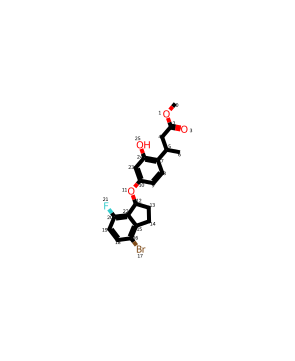 COC(=O)CC(C)c1ccc(OC2CCc3c(Br)ccc(F)c32)cc1O